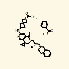 CC(=O)N1CC2(CC(Nc3cc4c(cn3)C3(CC3)CN(C[C@@H](O)CN3CCc5ccccc5C3)C4=O)C2)C1.O=C(O)c1ccccc1